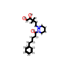 CC(C)(CCN1CCCCN1C(=O)CCCCc1ccccc1)C(=O)C=O